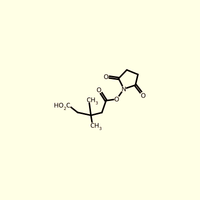 CC(C)(CC(=O)O)CC(=O)ON1C(=O)CCC1=O